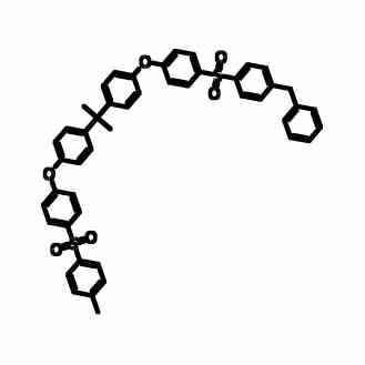 Cc1ccc(S(=O)(=O)c2ccc(Oc3ccc(C(C)(C)c4ccc(Oc5ccc(S(=O)(=O)c6ccc(Cc7ccccc7)cc6)cc5)cc4)cc3)cc2)cc1